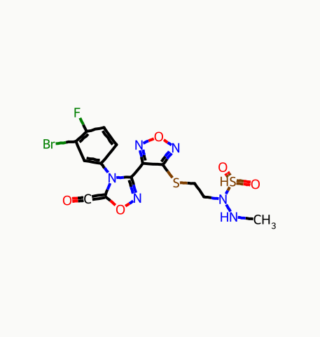 CNN(CCSc1nonc1C1=NOC(=C=O)N1c1ccc(F)c(Br)c1)[SH](=O)=O